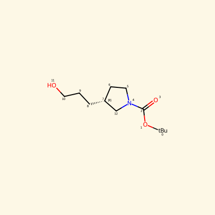 CC(C)(C)OC(=O)N1CC[C@@H](CCCO)C1